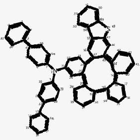 c1ccc(-c2ccc(N(c3ccc(-c4ccccc4)cc3)c3ccc4c(c3)c3ccccc3c3ccccc3c3ccccc3c3cc5sc6ccccc6c5cc43)cc2)cc1